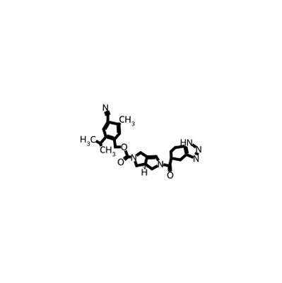 Cc1cc(COC(=O)N2CC3=CN(C(=O)C4CCc5[nH]nnc5C4)C[C@H]3C2)c(C(C)C)cc1C#N